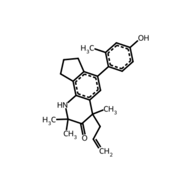 C=CCC1(C)C(=O)C(C)(C)Nc2c1cc(-c1ccc(O)cc1C)c1c2CCC1